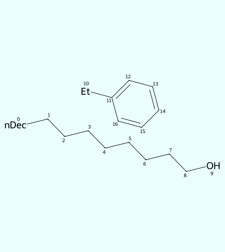 CCCCCCCCCCCCCCCCCCO.CCc1ccccc1